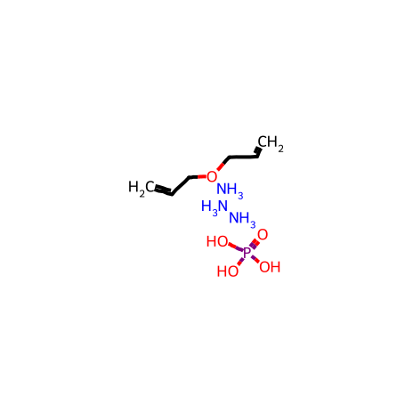 C=CCOCC=C.N.N.N.O=P(O)(O)O